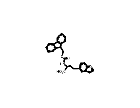 O=C(NC(CCc1ccc2sccc2c1)C(=O)O)OCC1c2ccccc2-c2ccccc21